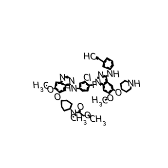 C#Cc1cccc(Nc2ncnc3cc(OC)c(OC4CCNCC4)cc23)c1.COCC(=O)N(C)C1CCC(Oc2cc3c(Nc4ccc(F)c(Cl)c4)ncnc3cc2OC)CC1